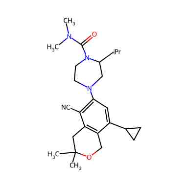 CC(C)C1CN(c2cc(C3CC3)c3c(c2C#N)CC(C)(C)OC3)CCN1C(=O)N(C)C